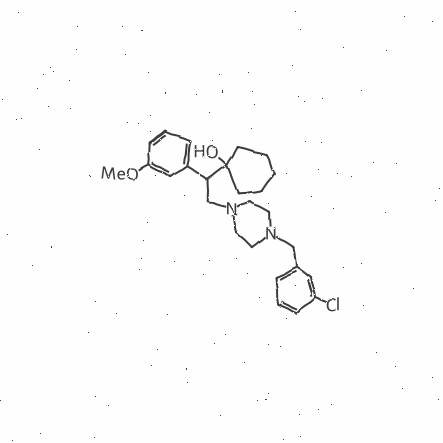 COc1cccc(C(CN2CCN(Cc3cccc(Cl)c3)CC2)C2(O)CCCCC2)c1